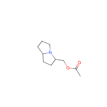 CC(=O)OCC1CCC2CCCN21